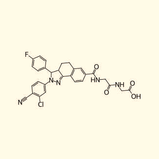 N#Cc1ccc(N2N=C3c4ccc(C(=O)NCC(=O)NCC(=O)O)cc4CCC3C2c2ccc(F)cc2)cc1Cl